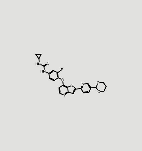 O=C(Nc1ccc(Oc2ccnc3cc(-c4ccc(C5OCCCO5)cn4)sc23)c(F)c1)NC1CC1